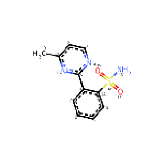 Cc1ccnc(-c2ccccc2S(N)(=O)=O)n1